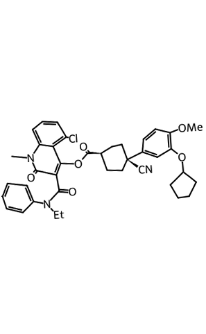 CCN(C(=O)c1c(OC(=O)[C@H]2CC[C@](C#N)(c3ccc(OC)c(OC4CCCC4)c3)CC2)c2c(Cl)cccc2n(C)c1=O)c1ccccc1